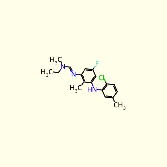 CCN(C)C=Nc1cc(F)cc(Nc2cc(C)ccc2Cl)c1C